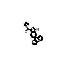 O=C(c1n[nH]c2c1C=CC(c1cccs1)(c1cccs1)C2)N1CCC1